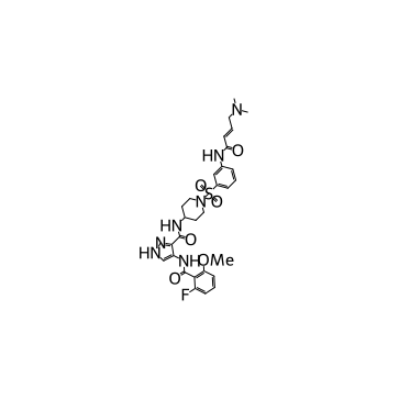 COc1cccc(F)c1C(=O)Nc1c[nH]nc1C(=O)NC1CCN(S(=O)(=O)c2cccc(NC(=O)C=CCN(C)C)c2)CC1